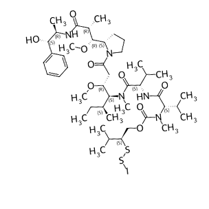 CC[C@H](C)[C@@H]([C@@H](CC(=O)N1CCC[C@H]1[C@H](OC)[C@@H](C)C(=O)N[C@H](C)[C@@H](O)c1ccccc1)OC)N(C)C(=O)[C@@H](NC(=O)[C@H](C(C)C)N(C)C(=O)OC[C@@H](SSI)C(C)C)C(C)C